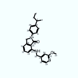 CCC(C)c1ccc(N2Cc3cccc(NCc4ccnc(OC)c4)c3C2=O)cc1